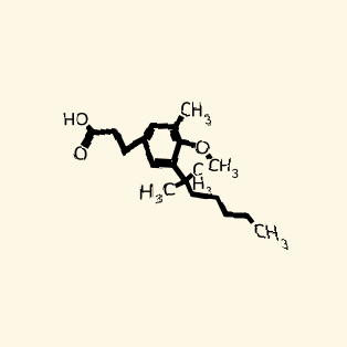 CCCCCC(C)(C)c1cc(CCC(=O)O)cc(C)c1OC